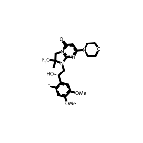 COc1cc(F)c([C@H](O)CN2c3nc(N4CCOCC4)cc(=O)n3CC2(C)C(F)(F)F)cc1OC